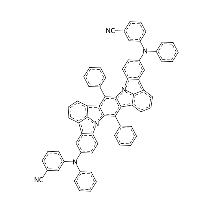 N#Cc1cccc(N(c2ccccc2)c2ccc3c(c2)c2cccc4c5c(-c6ccccc6)c6c(c(-c7ccccc7)c5n3c24)c2cccc3c4cc(N(c5ccccc5)c5cccc(C#N)c5)ccc4n6c32)c1